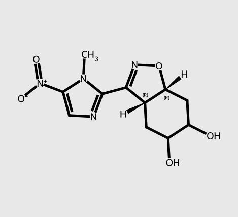 Cn1c([N+](=O)[O-])cnc1C1=NO[C@@H]2CC(O)C(O)C[C@H]12